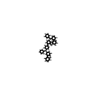 c1ccc(N(c2ccc(-c3ccc(N(c4ccccc4)c4ccccc4)c4c3sc3ccccc34)cc2)c2ccc3sc4ccccc4c3c2)cc1